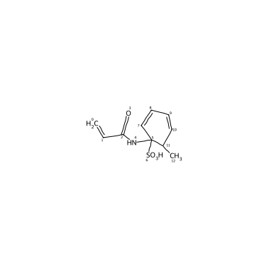 C=CC(=O)NC1(S(=O)(=O)O)C=CC=CC1C